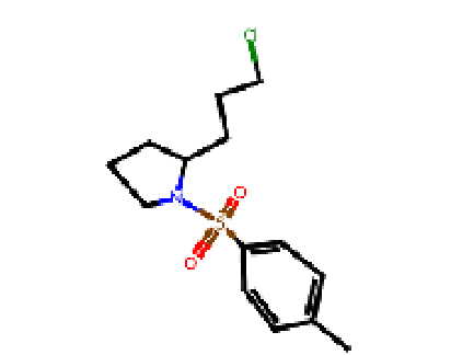 Cc1ccc(S(=O)(=O)N2CCCC2CCCCl)cc1